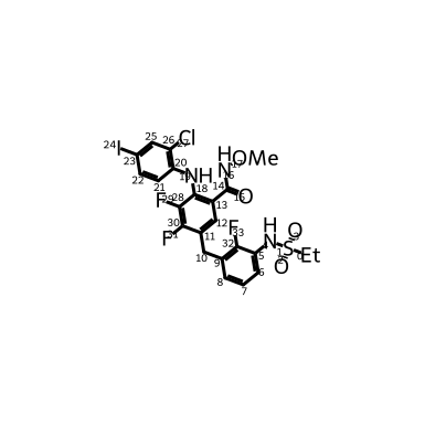 CCS(=O)(=O)Nc1cccc(Cc2cc(C(=O)NOC)c(Nc3ccc(I)cc3Cl)c(F)c2F)c1F